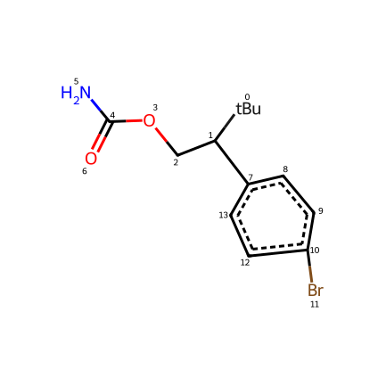 CC(C)(C)C(COC(N)=O)c1ccc(Br)cc1